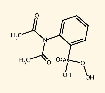 CC(=O)N(C(C)=O)c1ccccc1[As](=O)(O)OO